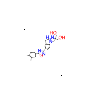 Cc1ccc(-c2nc(-c3ccc4c(c3)CCN4CC(N)(CO)CO)no2)cc1C